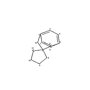 c1cc2ccc1CC1(CCCS1)C2